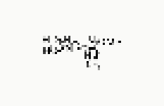 COC(=O)c1ccc(C(F)(F)F)nc1COCc1nc(CO)n(C)n1